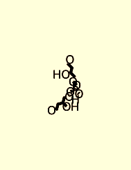 O=CCC(O)COO[PH](=O)OOCC(O)CC=O